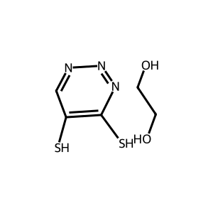 OCCO.Sc1cnnnc1S